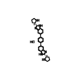 Cl.c1cc(-c2ccc3[nH]c([C@@H]4CCCN4)nc3c2)ccc1-c1ccc2[nH]c([C@@H]3CCCN3)nc2c1